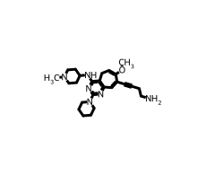 COC1=CCc2c(nc(N3CCCCC3)nc2NC2CCN(C)CC2)C=C1C#CCCN